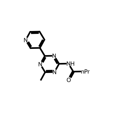 CCCC(=O)Nc1nc(C)nc(-c2cccnc2)n1